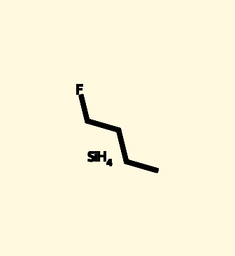 CCCCF.[SiH4]